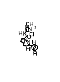 Cn1cc(NC(=O)c2ccc3ccc(N4C[C@H]5CC[C@@H]4CN5)nn23)c(Cl)n1